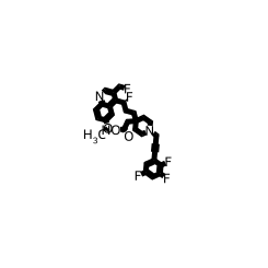 COc1ccc2ncc(CF)c([C@H](F)CCC3(CC(=O)O)CCN(CC#Cc4cc(F)cc(F)c4F)CC3)c2c1